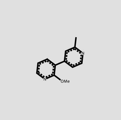 COc1ncc[c]c1-c1ccnc(C)c1